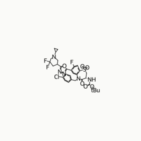 CC(C)(C)OC(=O)N[C@H]1CS(=O)(=O)c2cc(F)c(-c3nnc(C4CN(C5CC5)CC(F)(F)C4)o3)cc2N(Cc2ccc(Cl)cc2)C1=O